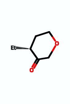 CC[C@@H]1CCOCC1=O